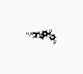 COC1CCN(C(=O)c2ccc3c(ccn3CC(=CF)CN)c2)CC1